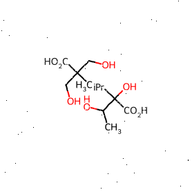 CC(C)C(O)(C(=O)O)C(C)O.CC(CO)(CO)C(=O)O